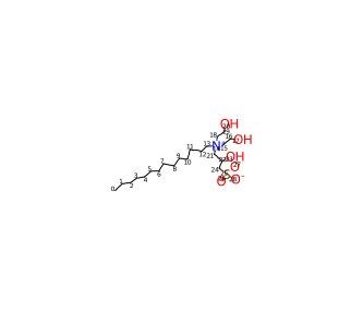 CCCCCCCCCCCCCC[N+](CCO)(CCO)CC(O)CS(=O)(=O)[O-]